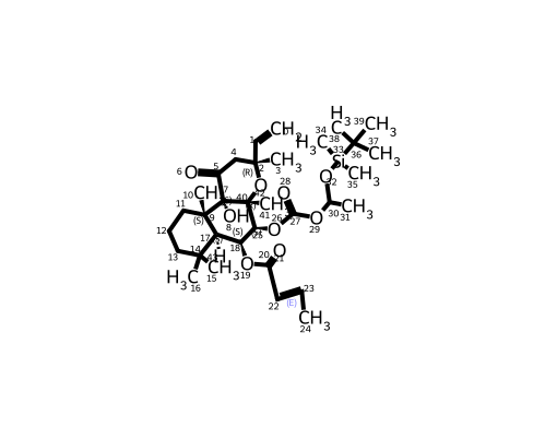 C=C[C@@]1(C)CC(=O)[C@]2(O)[C@@]3(C)CCCC(C)(C)[C@@H]3[C@H](OC(=O)/C=C/C)[C@H](OC(=O)OC(C)O[Si](C)(C)C(C)(C)C)[C@@]2(C)O1